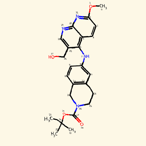 COc1ccc2c(Nc3ccc4c(c3)CCN(C(=O)OC(C)(C)C)C4)c(CO)cnc2n1